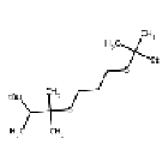 CCC(C)(C)SCCCSC(C)(C)C(C)C(C)(C)C